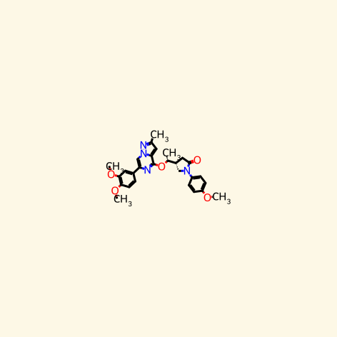 COc1ccc(N2C[C@H]([C@@H](C)Oc3nc(-c4ccc(OC)c(OC)c4)cn4nc(C)cc34)CC2=O)cc1